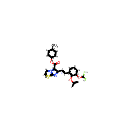 C=C(C)Oc1c(/C=C/c2nc3sccn3c2C(=O)Oc2ccc([N+](=O)[O-])cc2)cccc1OC(F)F